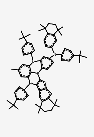 Cc1cc2c3c(c1)N(c1ccc(C(C)(C)C)cc1)c1c(sc4cc5c(cc14)C(C)(C)CCC5(C)C)B3c1ccc(N(c3ccc(C(C)(C)C)cc3)c3ccc4c(c3)C(C)(C)CCC4(C)C)cc1N2c1ccc(C(C)(C)C)cc1